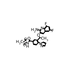 C[C@H](Oc1cc2cc(F)cc(F)c2nc1N)c1cc(C(=O)NS(C)(=O)=O)ccc1-n1cccn1